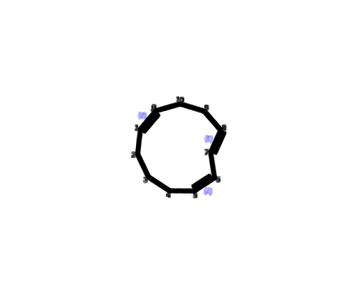 [C]1=C\CCC/C=C\C=C\CC/1